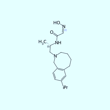 CC(C)c1ccc2c(c1)CCCCN(C[C@H](C)NC(=O)/C=N\O)C2